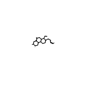 CC/C=C\[C@@H](C)[C@H]1CCC2C3CC(=O)[C@H]4CC(O)[C@H](O)C[C@]4(C)C3CC[C@@]21C